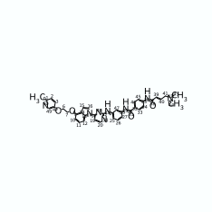 Cc1ccc(OCCOc2cccc3c2ccn3-c2ccnc(Nc3cccc(NC(=O)c4ccc(NC(=O)C=CCN(C)C)cc4)c3)n2)cn1